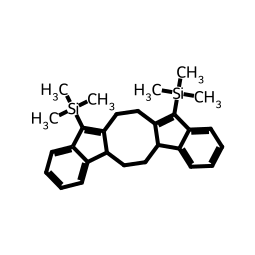 C[Si](C)(C)C1=C2CCC3=C([Si](C)(C)C)c4ccccc4C3CCC2c2ccccc21